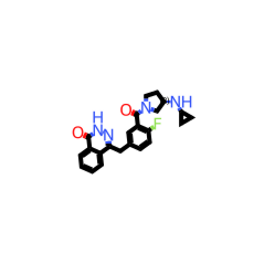 O=C(c1cc(Cc2n[nH]c(=O)c3ccccc23)ccc1F)N1CC[C@@H](NC2CC2)C1